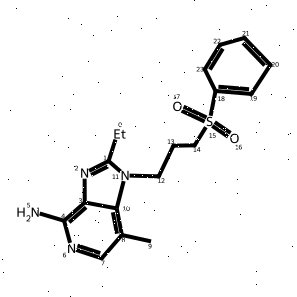 CCc1nc2c(N)ncc(C)c2n1CCCS(=O)(=O)c1ccccc1